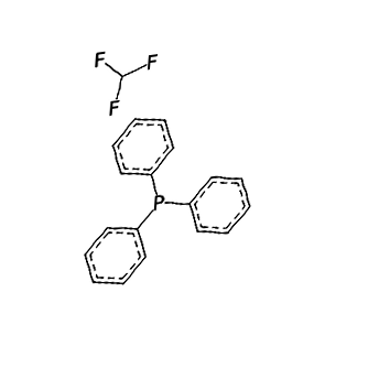 FC(F)F.c1ccc(P(c2ccccc2)c2ccccc2)cc1